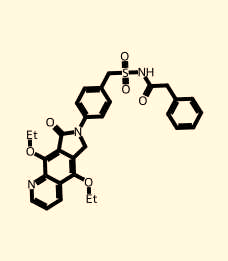 CCOc1c2c(c(OCC)c3ncccc13)C(=O)N(c1ccc(CS(=O)(=O)NC(=O)Cc3ccccc3)cc1)C2